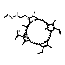 C=Cc1c(C)c2cc3nc(c(C)c4[nH]c(cc5nc(cc1[nH]2)C(C)=C5CC)c(C)c4C(=O)O)[C@@H](CCNOOC)[C@@H]3C